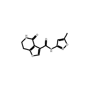 Cc1cc(NC(=O)c2coc3c2C(=O)NCC3)no1